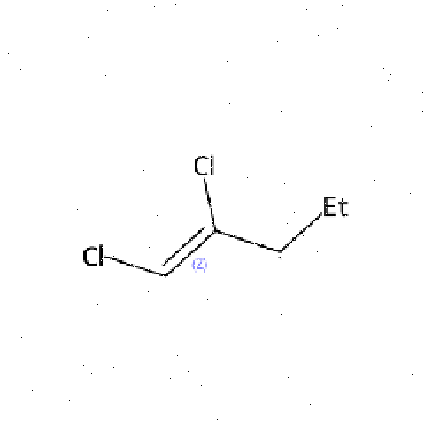 CC[CH]/C(Cl)=C/Cl